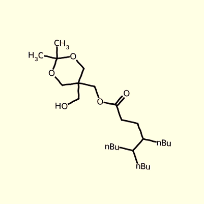 CCCCC(CCCC)C(CCCC)CCC(=O)OCC1(CO)COC(C)(C)OC1